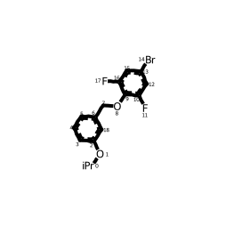 CC(C)Oc1cccc(COc2c(F)cc(Br)cc2F)c1